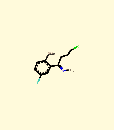 C/N=C(\CCCCl)c1cc(F)ccc1OC